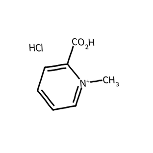 C[n+]1ccccc1C(=O)O.Cl